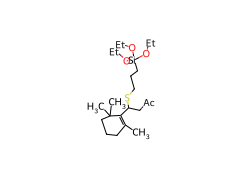 CCO[Si](CCCSC(CC(C)=O)C1=C(C)CCCC1(C)C)(OCC)OCC